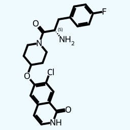 N[C@@H](Cc1ccc(F)cc1)C(=O)N1CCC(Oc2cc3cc[nH]c(=O)c3cc2Cl)CC1